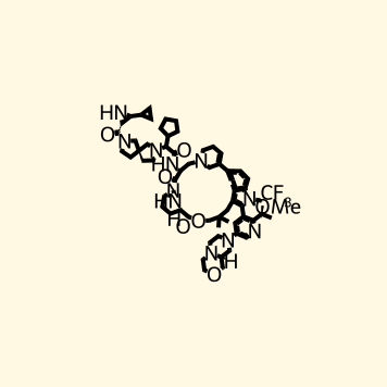 CO[C@@H](C)c1ncc(N2CCN3CCOC[C@@H]3C2)cc1-c1c2c3cc(ccc3n1CC(F)(F)F)C1=CCCN(C1)C[C@H](NC(=O)C(C1CCCC1)N1CC[C@]3(CCN(C(=O)[C@@H]4NC4C4CC4)C3)C1)C(=O)N1CCC[C@H](N1)C(=O)OCC(C)(C)C2